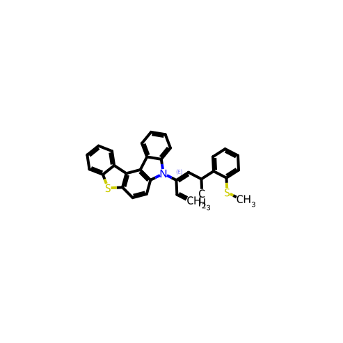 C=C/C(=C\C(C)c1ccccc1SC)n1c2ccccc2c2c3c(ccc21)sc1ccccc13